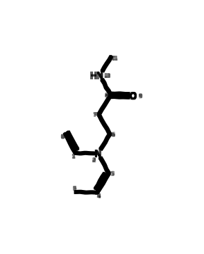 C=CN(/C=C\C)CCC(=O)NC